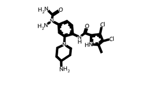 Cc1[nH]c(C(=O)Nc2ccc(N(N)C(N)=O)cc2N2CCC(N)CC2)c(Cl)c1Cl